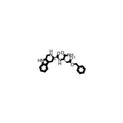 NC(=O)[C@H](CC(=O)OCc1ccccc1)NC(=O)[C@H]1Cc2c([nH]c3ccccc23)CN1